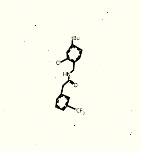 CC(C)(C)c1ccc(CNC(=O)Cc2cccc(C(F)(F)F)c2)c(Cl)c1